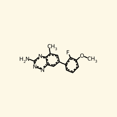 COc1cccc(-c2cc(C)c3nc(N)nnc3c2)c1F